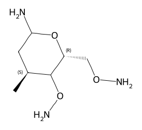 C[C@H]1CC(N)O[C@H](CON)C1ON